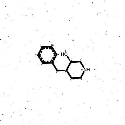 O[C@H]1CNCC[C@H]1Cc1ccccc1